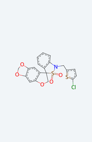 O=S1(=O)N(Cc2ccc(Cl)s2)c2ccccc2C12COc1cc3c(cc12)OCO3